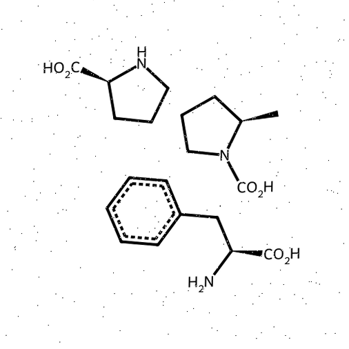 C[C@@H]1CCCN1C(=O)O.N[C@@H](Cc1ccccc1)C(=O)O.O=C(O)[C@@H]1CCCN1